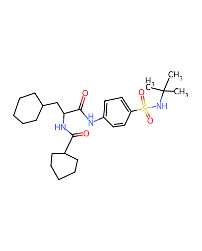 CC(C)(C)NS(=O)(=O)c1ccc(NC(=O)C(CC2CCCCC2)NC(=O)C2CCCCC2)cc1